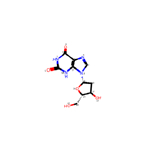 O=c1[nH]c(=O)c2ncn([C@@H]3CC(O)[C@H](CO)O3)c2[nH]1